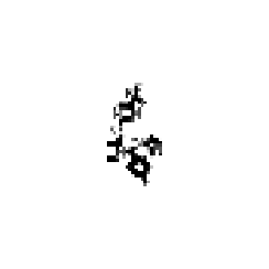 CCN(C(=O)c1ccc(C)cc1-n1nccn1)C(C)COc1cnc(C(F)(F)F)cn1